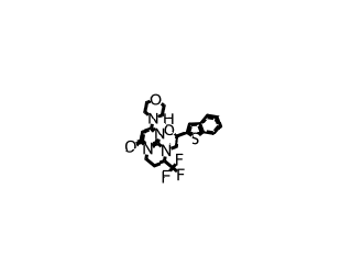 O=c1cc(N2CCOCC2)nc2n1CCC(C(F)(F)F)N2C[C@@H](O)c1cc2ccccc2s1